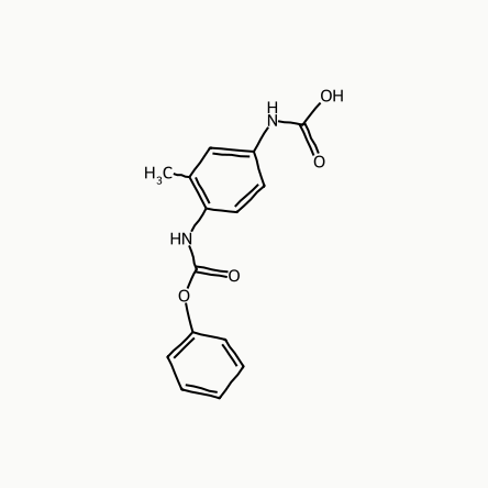 Cc1cc(NC(=O)O)ccc1NC(=O)Oc1ccccc1